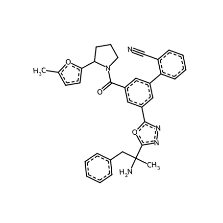 Cc1ccc(C2CCCN2C(=O)c2cc(-c3nnc(C(C)(N)Cc4ccccc4)o3)cc(-c3ccccc3C#N)c2)o1